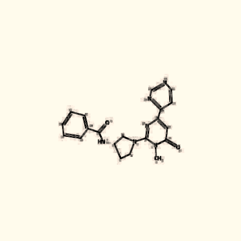 Cn1c(N2CC[C@H](NC(=O)c3ccccc3)C2)nc(-c2ccncn2)cc1=O